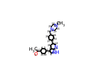 CC(=O)c1ccc(-c2c[nH]c3ncc(-c4ccc(CN5CCN(C)CC5)cc4)cc23)cc1